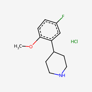 COc1ccc(F)cc1C1CCNCC1.Cl